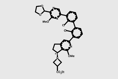 CCOC(=O)C1CN([C@H]2CCc3cc(-c4cccc(-c5cccc(-c6cnc(C7OCCO7)c(OC)n6)c5Cl)c4Cl)nc(OC)c32)C1